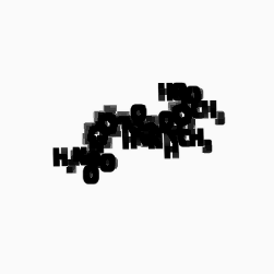 Cc1cc([C@H](C)NC(=O)c2cc(C(=O)NCc3ccc4c(c3)CN(c3c(N)c(=O)c3=O)CC4)ncn2)ccc1C(=O)O